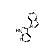 [c]1ccc2ccn(-c3c[nH]c4ncccc34)c2c1